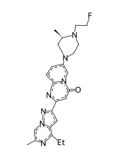 CCc1nc(C)cn2nc(-c3cc(=O)n4cc(N5CCN(CCF)[C@H](C)C5)ccc4n3)cc12